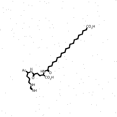 CC(=O)C(CCCNC=N)NC(=O)CCC(NC(=O)CCCCCCCCCCCCCCCCCCC(=O)O)C(=O)O